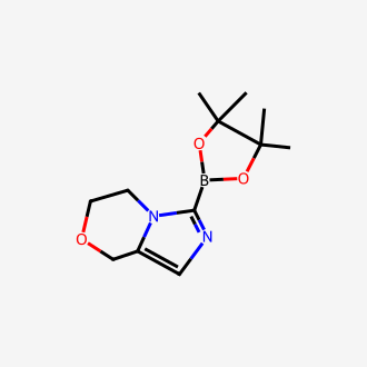 CC1(C)OB(c2ncc3n2CCOC3)OC1(C)C